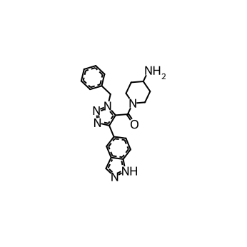 NC1CCN(C(=O)c2c(-c3ccc4[nH]ncc4c3)nnn2Cc2ccccc2)CC1